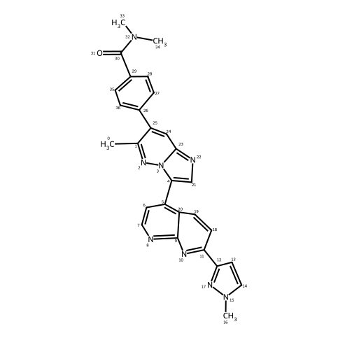 Cc1nn2c(-c3ccnc4nc(-c5ccn(C)n5)ccc34)cnc2cc1-c1ccc(C(=O)N(C)C)cc1